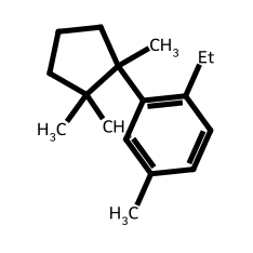 CCc1ccc(C)cc1C1(C)CCCC1(C)C